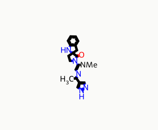 CN/C(=C\N=C(/C)c1cn[nH]c1)N1CCC2(Cc3ccccc3N2)C1=O